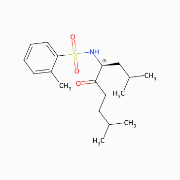 Cc1ccccc1S(=O)(=O)N[C@@H](CC(C)C)C(=O)CCC(C)C